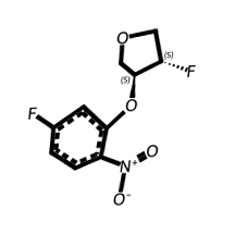 O=[N+]([O-])c1ccc(F)cc1O[C@H]1COC[C@@H]1F